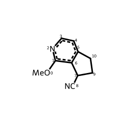 COc1nccc2c1C(C#N)CC2